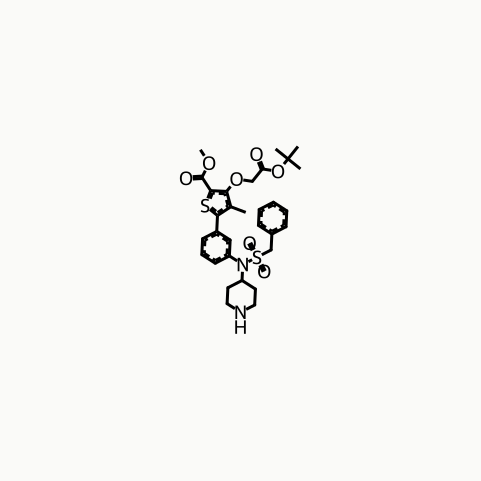 COC(=O)c1sc(-c2cccc(N(C3CCNCC3)S(=O)(=O)Cc3ccccc3)c2)c(C)c1OCC(=O)OC(C)(C)C